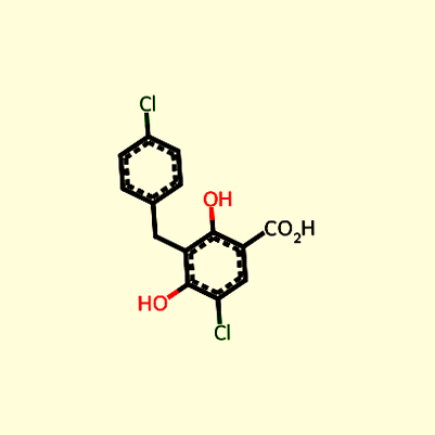 O=C(O)c1cc(Cl)c(O)c(Cc2ccc(Cl)cc2)c1O